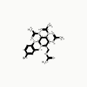 CC(=O)OC[C@H]1O[C@H](Oc2ccc(Br)cc2F)[C@@H](OC(C)=O)[C@@H](OC(C)=O)[C@@H]1OC(C)=O